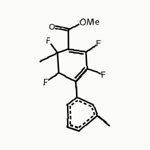 COC(=O)C1=C(F)C(F)=C(c2cccc(C)c2)C(F)C1(C)F